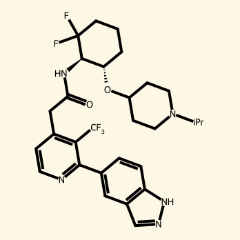 CC(C)N1CCC(O[C@H]2CCCC(F)(F)[C@@H]2NC(=O)Cc2ccnc(-c3ccc4[nH]ncc4c3)c2C(F)(F)F)CC1